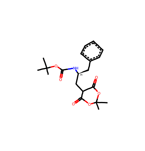 CC(C)(C)OC(=O)N[C@@H](Cc1ccccc1)CC1C(=O)OC(C)(C)OC1=O